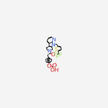 O=C(O)OC12CCC(CC(=O)N3CCc4c(n(Cc5ccc(C(F)(F)F)s5)c5ncccc45)C3)(CC1)CC2